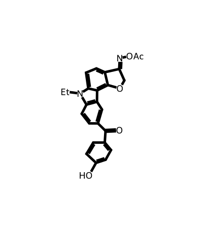 CCn1c2ccc(C(=O)c3ccc(O)cc3)cc2c2c3c(ccc21)/C(=N/OC(C)=O)CO3